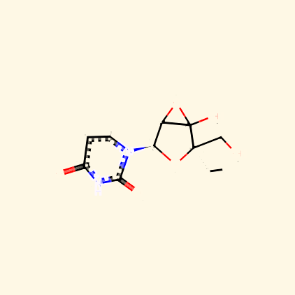 CC[C@]1(CO)O[C@@H](n2ccc(=O)[nH]c2=O)C2OC21O